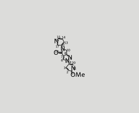 COc1ccc(-n2cc3c(n2)CN(c2cccnc2)C3=O)cn1